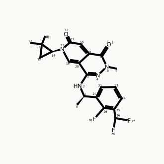 C[C@@H](Nc1nn(C)c(=O)c2cc(=O)n([C@H]3CC3(C)C)cc12)c1cccc(C(F)F)c1F